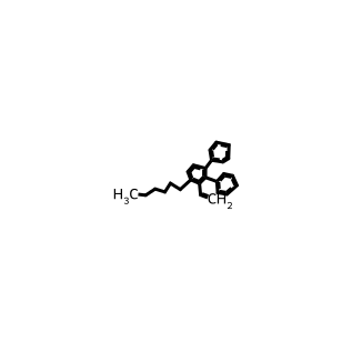 C=Cc1c(CCCCCC)ccc(-c2ccccc2)c1-c1ccccc1